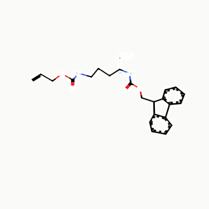 C=CCOC(=O)NCCC[C@@H](NC(=O)OCC1c2ccccc2-c2ccccc21)C(=O)O